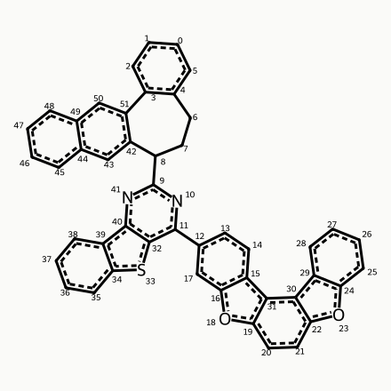 c1ccc2c(c1)CCC(c1nc(-c3ccc4c(c3)oc3ccc5oc6ccccc6c5c34)c3sc4ccccc4c3n1)c1cc3ccccc3cc1-2